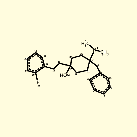 CN(C)C1(Cc2ccccc2)CCC(O)(CCc2ccccc2F)CC1